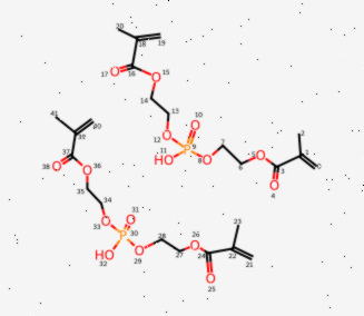 C=C(C)C(=O)OCCOP(=O)(O)OCCOC(=O)C(=C)C.C=C(C)C(=O)OCCOP(=O)(O)OCCOC(=O)C(=C)C